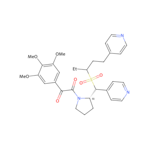 CCC(CCc1ccncc1)S(=O)(=O)C(c1ccncc1)[C@@H]1CCCN1C(=O)C(=O)c1cc(OC)c(OC)c(OC)c1